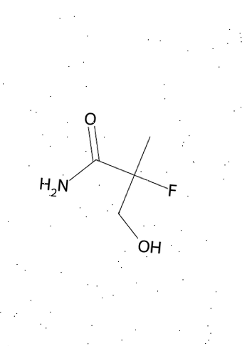 CC(F)(CO)C(N)=O